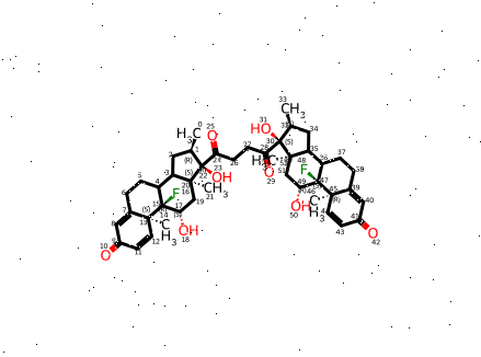 C[C@@H]1CC2C3CCC4=CC(=O)C=C[C@]4(C)[C@@]3(F)[C@@H](O)C[C@]2(C)[C@@]1(O)C(=O)C[CH]C(=O)[C@]1(O)[C@@H](C)CC2C3CCC4=CC(=O)C=C[C@@]4(C)[C@]3(F)[C@H](O)C[C@]21C